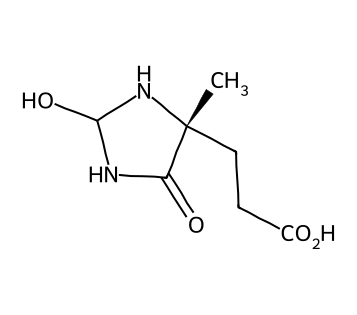 C[C@]1(CCC(=O)O)NC(O)NC1=O